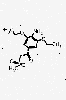 CCOc1cc(C(=O)CS(C)(=O)=O)cc(OCC)c1N